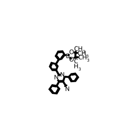 CC1(C)OB(c2cccc(-c3cccc(-c4nc(-c5ccccc5)c(C#N)c(-c5ccccc5)n4)c3)c2)OC1(C)C